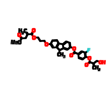 C=C(CC(=O)OC)C(=O)OCCCOc1ccc2c(c1)C(C)c1cc(OC(=O)c3ccc(OC(=O)C(=C)CO)c(F)c3)ccc1-2